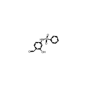 O=Cc1ccc(NS(=O)(=O)c2ccccc2)cc1O